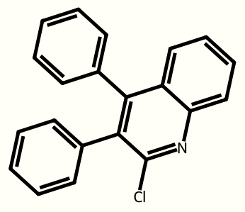 Clc1nc2ccccc2c(-c2ccccc2)c1-c1ccccc1